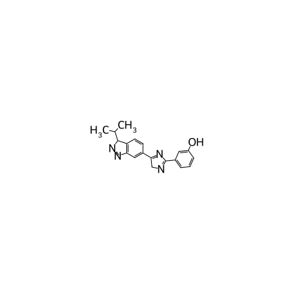 CC(C)C1N=Nc2cc(C3=NC(c4cccc(O)c4)=NC3)ccc21